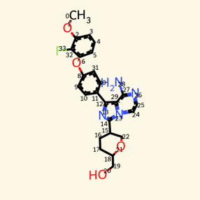 COc1cccc(Oc2ccc(-c3nc(C4CCC(CO)OC4)n4ccnc(N)c34)cc2)c1F